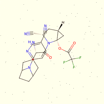 N#Cc1ccc(N2C3CCC2CC([C@H](N)C(=O)N2[C@H](C#N)C[C@@H]4C[C@]42OC(=O)C(F)(F)F)C3)nc1